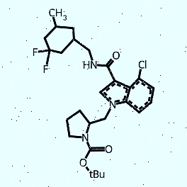 CC1CC(CNC(=O)c2cn(CC3CCCN3C(=O)OC(C)(C)C)c3cccc(Cl)c23)CC(F)(F)C1